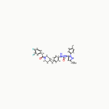 Cc1ccc(-n2nc(C(C)(C)C)cc2NC(=O)Nc2ccc(CC3CCN(C(=O)Cc4ccc(F)c(F)c4)CC3)cc2)cc1